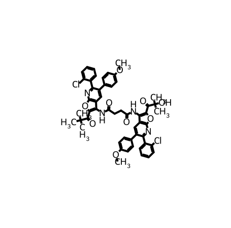 COc1ccc(-c2cc3c(NC(=O)CCC(=O)Nc4c(C(=O)C(C)(C)O)oc5nc(-c6ccccc6Cl)c(-c6ccc(OC)cc6)cc45)c(C(=O)C(C)(C)C)oc3nc2-c2ccccc2Cl)cc1